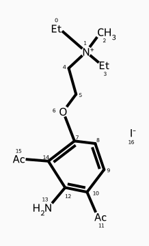 CC[N+](C)(CC)CCOc1ccc(C(C)=O)c(N)c1C(C)=O.[I-]